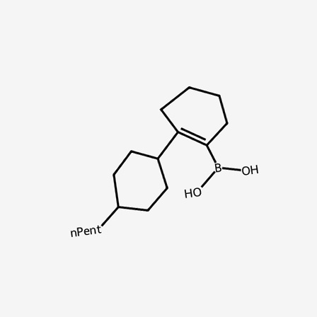 CCCCCC1CCC(C2=C(B(O)O)CCCC2)CC1